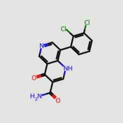 NC(=O)c1c[nH]c2c(-c3cccc(Cl)c3Cl)cncc2c1=O